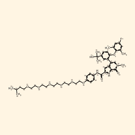 Cc1cc(F)cc(C)c1Oc1ccc(C(C)(C)O)cc1-c1cn(C)c(=O)c2[nH]c(C(=O)Nc3ccc(OCCOCCOCCOCCOCCOCCC(C)C)cc3)cc12